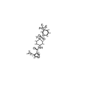 O=C(NC1CCC(F)(S(=O)(=O)c2cccc(C(F)(F)F)c2)CC1)c1nocc1C1CC1